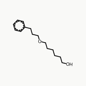 OCCCCCCOCCCc1ccccc1